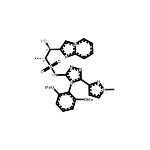 COc1cccc(OC)c1-n1c(NS(=O)(=O)[C@H](C)[C@@H](O)c2cn3ccccc3n2)nnc1-c1ccn(C)n1